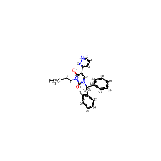 CCCn1c(=O)c(-c2cccnn2)cn(C(c2ccccc2)c2ccccc2)c1=O